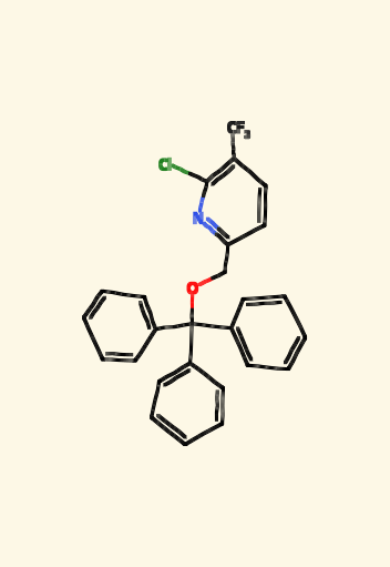 FC(F)(F)c1ccc(COC(c2ccccc2)(c2ccccc2)c2ccccc2)nc1Cl